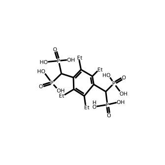 CCc1c(CC)c(C(P(=O)(O)O)P(=O)(O)O)c(CC)c(CC)c1C(P(=O)(O)O)P(=O)(O)O